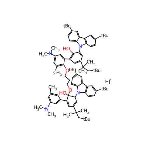 Cc1cc(C2=CC(C(C)(C)CC(C)(C)C)=CC(n3c4ccc(C(C)(C)C)cc4c4cc(C(C)(C)C)ccc43)C2(O)OCCCOc2c(C)cc(N(C)C)cc2-c2cc(C(C)(C)CC(C)(C)C)cc(-n3c4ccc(C(C)(C)C)cc4c4cc(C(C)(C)C)ccc43)c2O)cc(N(C)C)c1.[Hf]